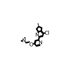 C[C@@H]1Cc2nc(-c3cc(OCCN(C)C)ccn3)cc(Cl)c2C1